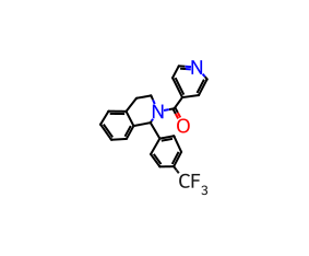 O=C(c1ccncc1)N1CCc2ccccc2C1c1ccc(C(F)(F)F)cc1